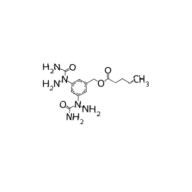 CCCCC(=O)OCc1cc(N(N)C(N)=O)cc(N(N)C(N)=O)c1